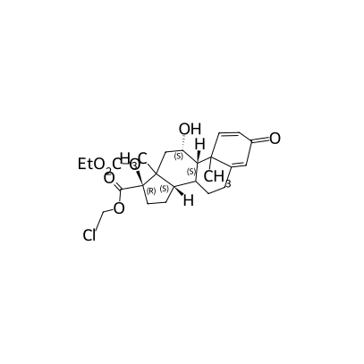 CCOC(=O)O[C@]1(C(=O)OCCl)CC[C@H]2C3CCC4=CC(=O)C=CC4(C)[C@H]3[C@@H](O)CC21C